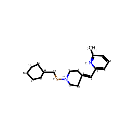 Cc1cccc(C=C2CCN(SCC3CCCCC3)CC2)n1